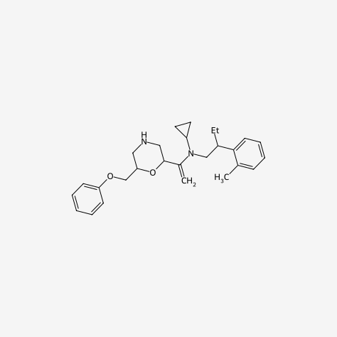 C=C(C1CNCC(COc2ccccc2)O1)N(CC(CC)c1ccccc1C)C1CC1